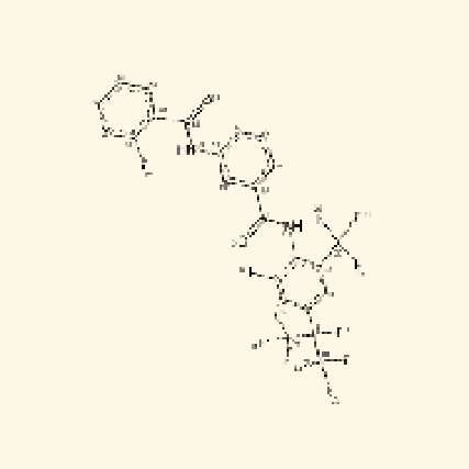 O=C(Nc1c(I)cc(C(F)(C(F)(F)F)C(F)(F)F)cc1C(F)(F)F)c1cccc(NC(=O)c2ccccc2F)c1